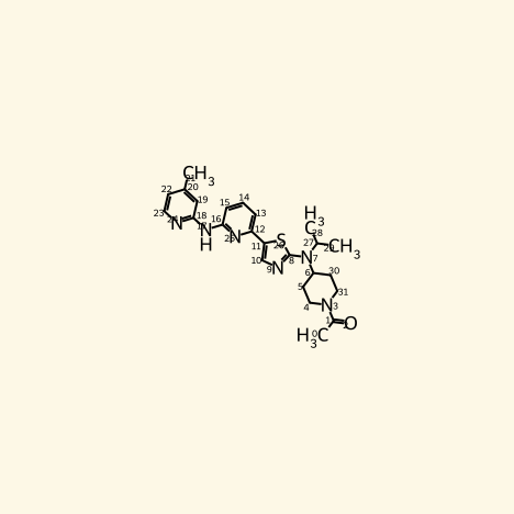 CC(=O)N1CCC(N(c2ncc(-c3cccc(Nc4cc(C)ccn4)n3)s2)C(C)C)CC1